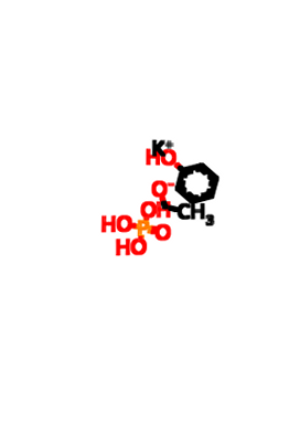 CC[O-].O=P(O)(O)O.Oc1ccccc1.[K+]